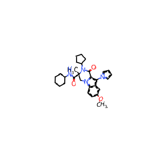 COc1ccc2c(c1)c(-n1cccc1)c1n2CC(C)(C(=O)NC2CCCCC2)N(C2CCCC2)C1=O